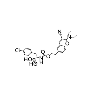 CCN(CC)C(=O)C(C#N)=Cc1cccc(CCOC(=O)N[C@@H](Cc2ccc(Cl)cc2)B(O)O)c1